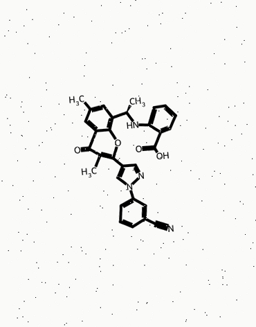 Cc1cc([C@@H](C)Nc2ccccc2C(=O)O)c2oc(-c3cnn(-c4cccc(C#N)c4)c3)c(C)c(=O)c2c1